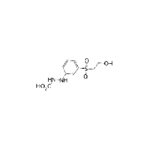 O=C(O)NNc1cccc(S(=O)(=O)CCO)c1